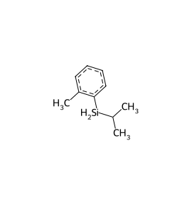 Cc1ccccc1[SiH2]C(C)C